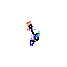 COc1cc(S(C)(=O)=O)ccc1NCC#Cc1nc2c([C@H]3N[C@@H]4C[C@H]3CN(C)C4)cccn2c1CC(F)(F)F